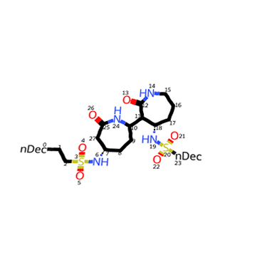 CCCCCCCCCCCCS(=O)(=O)N[C@H]1CCC(C2C(=O)NCCC[C@@H]2NS(=O)(=O)CCCCCCCCCC)NC(=O)C1